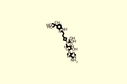 CC(CO)(CO)c1ccc2[nH]c(CCC3CC(N4C[C@H]5O[C@@H](n6cnc7c(N)ncnc76)[C@H](O)[C@@H]5OC4(O)CO)C3)nc2c1